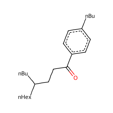 CCCCCCC(CCCC)CCC(=O)c1ccc(CCCC)cc1